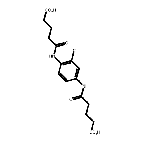 O=C(O)CCCC(=O)Nc1ccc(NC(=O)CCCC(=O)O)c(Cl)c1